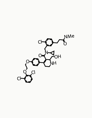 CNC(=O)CCc1ccc(Cl)c(CN(C(=O)C2=C(c3ccc(OCCOc4c(Cl)cccc4Cl)cc3)CCNC2CO)C2CC2)c1